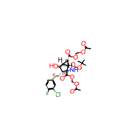 CC(=O)OCOC(=O)[C@H]1[C@@H]2[C@H](O)[C@@H](CSc3ccc(F)c(Cl)c3)[C@@](NC(=O)OC(C)(C)C)(C(=O)OCOC(C)=O)[C@H]12